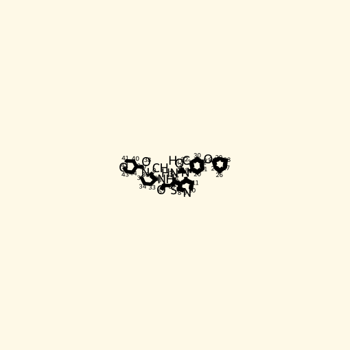 CC1=C(NC(=O)c2sc3nccc4c3c2NC(=O)N4c2ccc(Oc3ccccc3)cc2C)CCCN1C(=O)C1CCOCC1